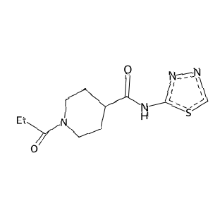 CCC(=O)N1CCC(C(=O)Nc2nncs2)CC1